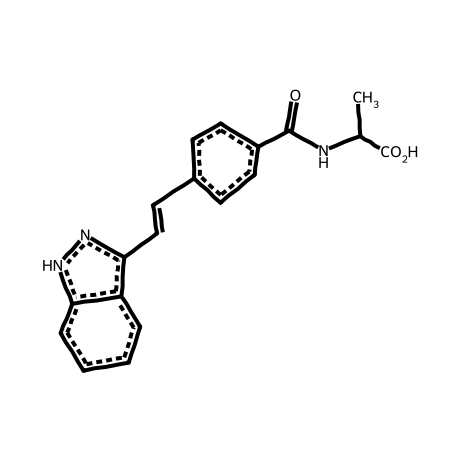 CC(NC(=O)c1ccc(C=Cc2n[nH]c3ccccc23)cc1)C(=O)O